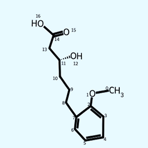 COc1ccccc1CCC[C@@H](O)CC(=O)O